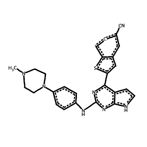 CN1CCN(c2ccc(Nc3nc(-c4cc5cc(C#N)ccc5s4)c4cc[nH]c4n3)cc2)CC1